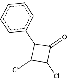 O=C1C(Cl)C(Cl)C1c1ccccc1